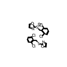 Clc1cccc(Cl)c1CSc1ncco1.[O-][S+](Cc1c(Cl)cccc1Cl)c1ncco1